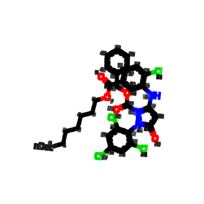 CCCCCCCCCCCCCCCCOC(=O)c1ccc(Cl)c(Nc2cc(=O)n(-c3c(Cl)cc(Cl)cc3Cl)n2C(=O)OCc2ccccc2)c1